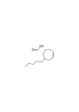 CCCCCC1CC=CCCC1.O=CO